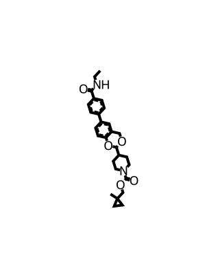 CCNC(=O)c1ccc(-c2ccc3c(c2)COC(C2CCN(C(=O)OCC4(C)CC4)CC2)O3)cc1